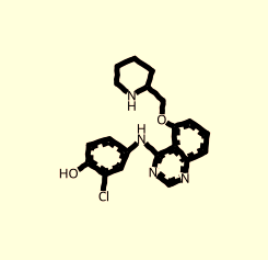 Oc1ccc(Nc2ncnc3cccc(OCC4CCCCN4)c23)cc1Cl